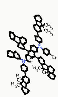 Cc1ccc(N(c2ccc(-c3ccc4c(c3)C(C)(C)c3ccccc3-4)cc2)c2ccc3c(-c4ccc5c6c(cccc46)-c4ccccc4-5)c4cc(N(c5ccc(-c6ccc7c(c6)C(C)(C)c6ccccc6-7)cc5)c5ccc6ccccc6c5)ccc4c(-c4ccc5c(c4)C(C)(C)c4c-5ccc5ccccc45)c3c2)cc1